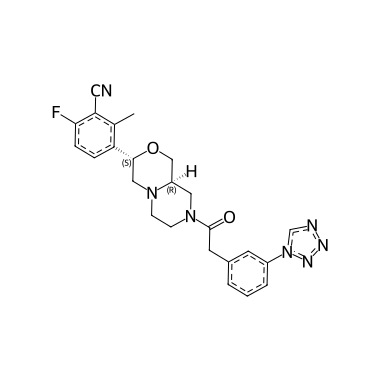 Cc1c([C@H]2CN3CCN(C(=O)Cc4cccc(-n5cnnn5)c4)C[C@@H]3CO2)ccc(F)c1C#N